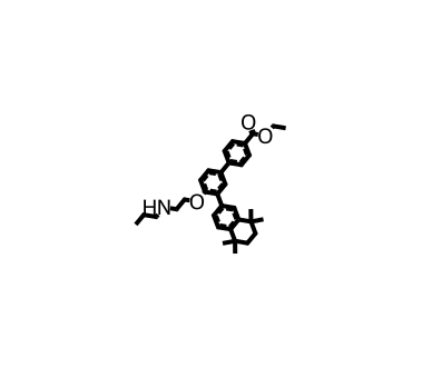 CCCNCCOc1ccc(-c2ccc(C(=O)OCC)cc2)cc1-c1ccc2c(c1)C(C)(C)CCC2(C)C